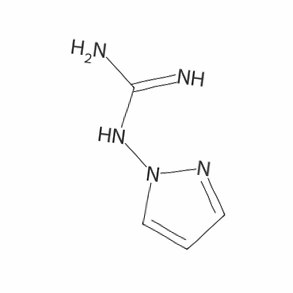 N=C(N)Nn1cccn1